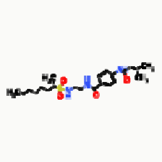 CCCCCCC(C)S(=O)(=O)NCCNC(=O)c1ccc(NC(=O)CC(C)C)cc1